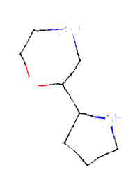 C1CNC(C2CNCCO2)C1